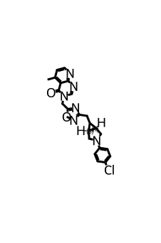 Cc1ccnc2ncn(Cc3nc(CC4[C@H]5CN(c6ccc(Cl)cc6)C[C@@H]45)no3)c(=O)c12